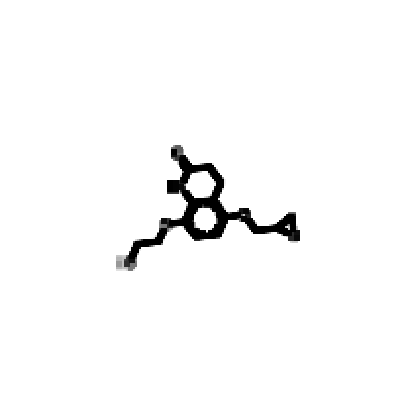 O=C1CCc2c(OCC3CO3)ccc(OCCO)c2N1